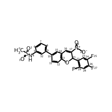 CS(=O)(=O)Nc1cccc(-c2ccc3c(c2)C=C([N+](=O)[O-])C(c2cc(F)c(F)cc2F)O3)c1